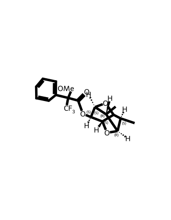 COC(C(=O)O[C@H]1[C@H]2OC3[C@@H](C)[C@@H](O[C@@H]31)[C@H]2C)(c1ccccc1)C(F)(F)F